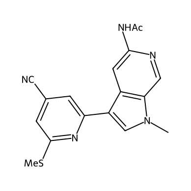 CSc1cc(C#N)cc(-c2cn(C)c3cnc(NC(C)=O)cc23)n1